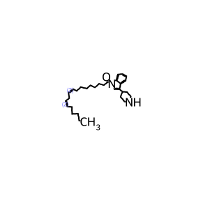 CCCCC/C=C\C/C=C\CCCCCCCC(=O)n1cc(C2CCNCC2)c2ccccc21